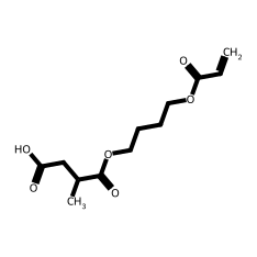 C=CC(=O)OCCCCOC(=O)C(C)CC(=O)O